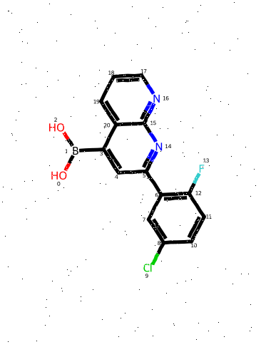 OB(O)c1cc(-c2cc(Cl)ccc2F)nc2ncccc12